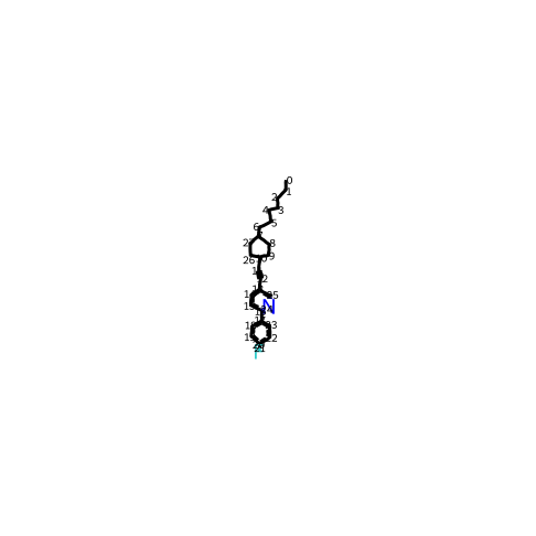 CCCCCCCC1CCC(C#Cc2ccc(-c3ccc(F)cc3)nc2)CC1